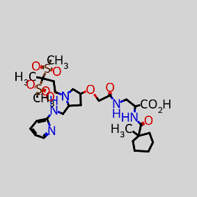 CC1(C(=O)NC(CNC(=O)COC2CC(CNc3ccccn3)N(C(=O)CC(C)(S(C)(=O)=O)S(C)(=O)=O)C2)C(=O)O)CCCCC1